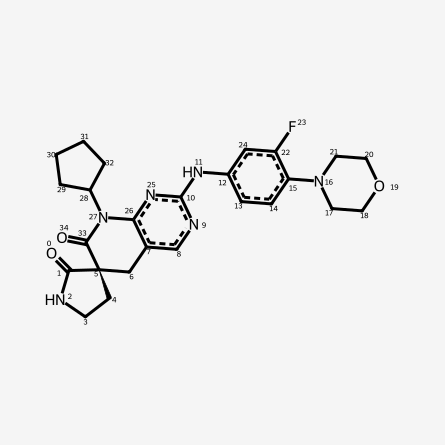 O=C1NCC[C@@]12Cc1cnc(Nc3ccc(N4CCOCC4)c(F)c3)nc1N(C1CCCC1)C2=O